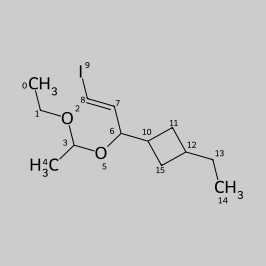 CCOC(C)OC(/C=C/I)C1CC(CC)C1